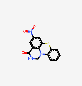 O=C1NCN2c3ccccc3Sc3cc([N+](=O)[O-])cc1c32